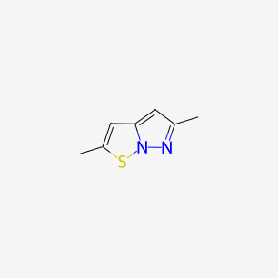 Cc1cc2cc(C)sn2n1